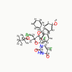 COc1ccc(C(O[C@H]2[C@H](F)[C@H](n3cc(F)c(=O)[nH]c3=O)O[C@]2(CBr)CO[Si](C)(C)C(C)(C)C)(c2ccccc2)c2ccccc2)cc1